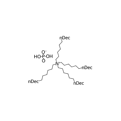 CCCCCCCCCCCCCCCC[N+](CCCCCCCCCCCCCCCC)(CCCCCCCCCCCCCCCC)CCCCCCCCCCCCCCCC.O=P([O-])(O)O